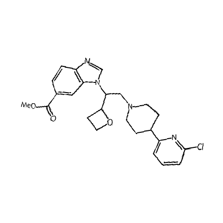 COC(=O)c1ccc2ncn(C(CN3CCC(c4cccc(Cl)n4)CC3)C3CCO3)c2c1